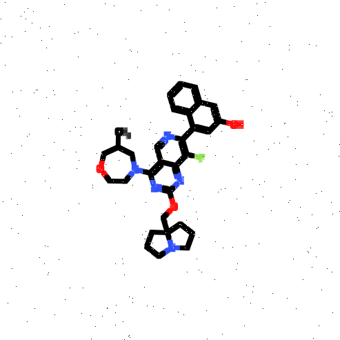 CC1COCCN(c2nc(OCC34CCCN3CCC4)nc3c(F)c(-c4cc(O)cc5ccccc45)ncc23)C1